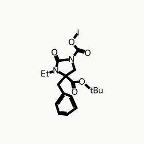 CCN1C(=O)N(C(=O)OI)CC1(Cc1ccccc1)C(=O)OC(C)(C)C